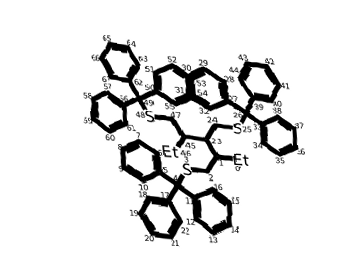 CCC(CSC(c1ccccc1)(c1ccccc1)c1ccccc1)C(CSC(c1ccccc1)(c1ccccc1)c1ccccc1)C(CC)CSC(c1ccccc1)(c1ccccc1)c1ccccc1